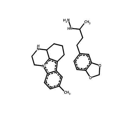 CC(CCc1ccc2c(c1)OCO2)NN.Cc1ccc2c(c1)c1c3n2CCNC3CCC1